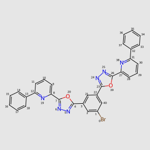 Brc1cc(-c2nnc(-c3cccc(-c4ccccc4)n3)o2)cc(-c2nnc(-c3cccc(-c4ccccc4)n3)o2)c1